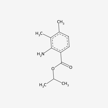 Cc1ccc(C(=O)OC(C)C)c(N)c1C